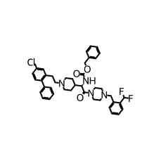 O=C(N[C@@H](C(=O)N1CCN(Cc2ccccc2C(F)F)CC1)C1CCN(CCc2cc(Cl)ccc2-c2ccccc2)CC1)OCc1ccccc1